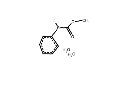 COC(=O)B(F)c1ccccc1.O.O